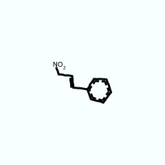 O=[N+]([O-])CC=Cc1ccccc1